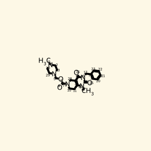 CN1CCN(COC(=O)N2CCc3c(c(=O)n(Cc4ccccc4)c(=O)n3C)C2)CC1